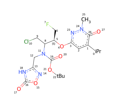 CC(C)c1cc(O[C@H](CF)C(CCl)N(Cc2noc(=O)[nH]2)C(=O)OC(C)(C)C)nn(C)c1=O